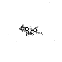 COc1cc(Br)cc2c1OC[C@H]1[C@H]2Nc2ccc(C(O)(C(F)(F)F)C(F)(F)F)cc2C1(C)C